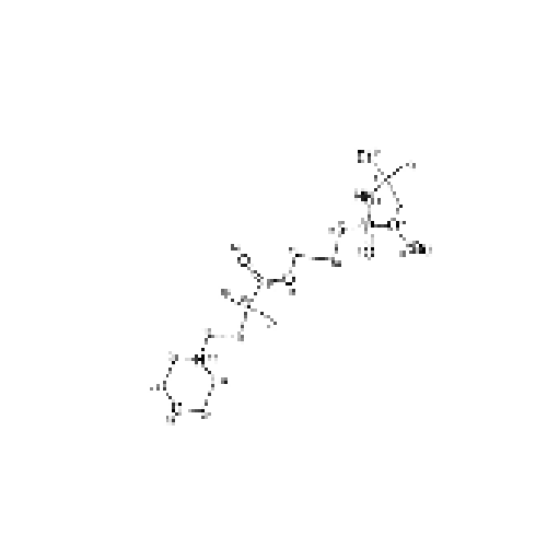 CCC(C)(C)NP(=O)(OC(C)(C)C)SCCOC(=O)C(C)(C)CCN1CCOCC1